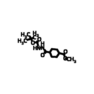 COC(=O)C1CCC(C(=O)NNC(=O)OC(C)(C)C)CC1